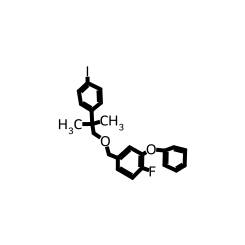 CC(C)(COCc1ccc(F)c(Oc2ccccc2)c1)c1ccc(I)cc1